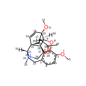 COc1ccc2c3c1O[C@H]1[C@@]4(OC)C=C[C@@]5(C[C@@H]4C(C)=O)[C@@H](CC2)N(C)CC[C@]315